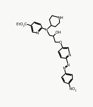 CCOC(=O)c1ccc(N(CC(O)COc2ccc(N=Nc3ccc([N+](=O)[O-])cc3)nc2)C2CCNCC2)nc1